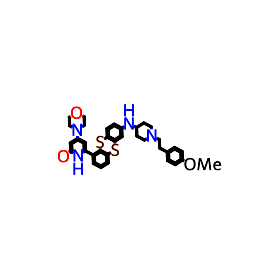 COc1ccc(CCN2CCC(Nc3ccc4c(c3)Sc3cccc(-c5cc(N6CCOCC6)cc(=O)[nH]5)c3S4)CC2)cc1